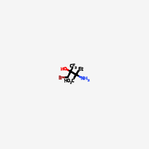 CCC(N)(C(=O)O)C(O)(CBr)C(F)(F)F